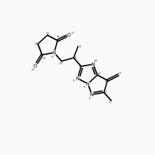 C=c1c(C)nn2nc(C(C)CN3C(=O)CCC3=O)nc12